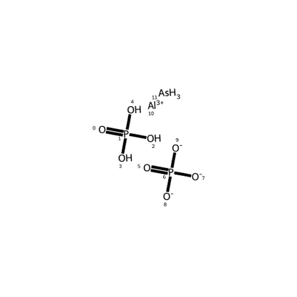 O=P(O)(O)O.O=P([O-])([O-])[O-].[Al+3].[AsH3]